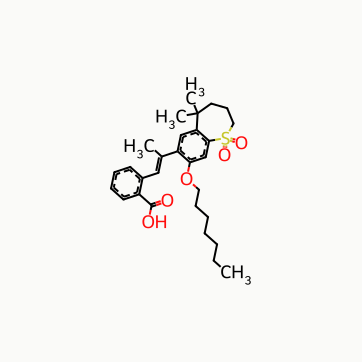 CCCCCCCOc1cc2c(cc1/C(C)=C/c1ccccc1C(=O)O)C(C)(C)CCCS2(=O)=O